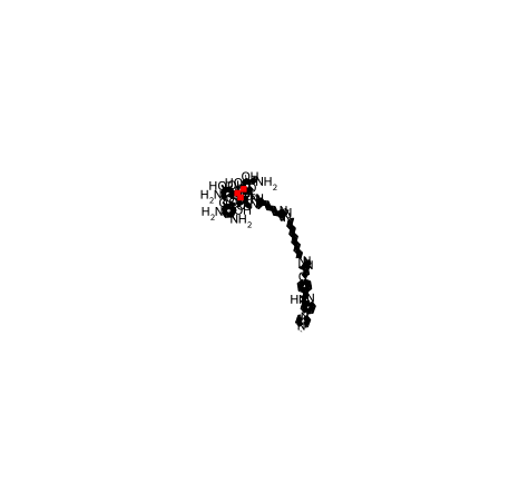 CN1CCN(c2ccc3nc(-c4ccc(OCc5cn(CCCCCCCCCCn6cc(CCCCc7cn(CC8OC(OC9[C@H](O[C@H]%10OC(CN)[C@@H](O)[C@H](O)C%10N)C(N)C[C@@H](N)[C@H]9O)[C@@H](O)[C@H]8O[C@H]8OC(CN)[C@@H](O)C(O)C8N)nn7)nn6)nn5)cc4)[nH]c3c2)CC1